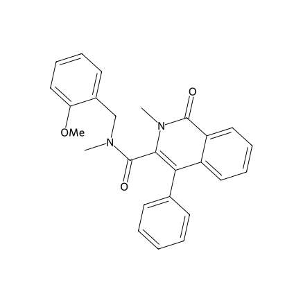 COc1ccccc1CN(C)C(=O)c1c(-c2ccccc2)c2ccccc2c(=O)n1C